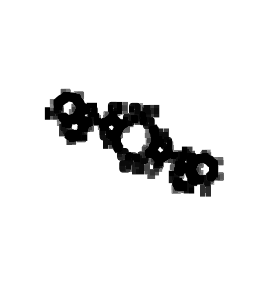 BP1(=O)OC[C@H]2O[C@@H](n3nc4c5c(ncnc53)NCCC4)C(O)C2OP(=O)(S)OC[C@H]2O[C@@H](n3nc4c5c(ncnc53)NCCC4)C(F)C2O1